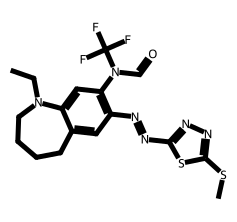 CCN1CCCCc2cc(N=Nc3nnc(SC)s3)c(N(C=O)C(F)(F)F)cc21